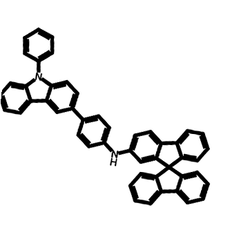 c1ccc(-n2c3ccccc3c3cc(-c4ccc(Nc5ccc6c(c5)C5(c7ccccc7-c7ccccc75)c5ccccc5-6)cc4)ccc32)cc1